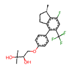 C[C@@H]1CCc2c(-c3ccc(OC[C@@H](O)C(C)(C)O)cc3)c(C(F)(F)F)cc(F)c21